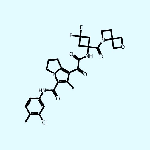 Cc1ccc(NC(=O)c2c(C)c(C(=O)C(=O)NC3(C(=O)N4CCC45COC5)CC(F)(F)C3)c3n2CCC3)cc1Cl